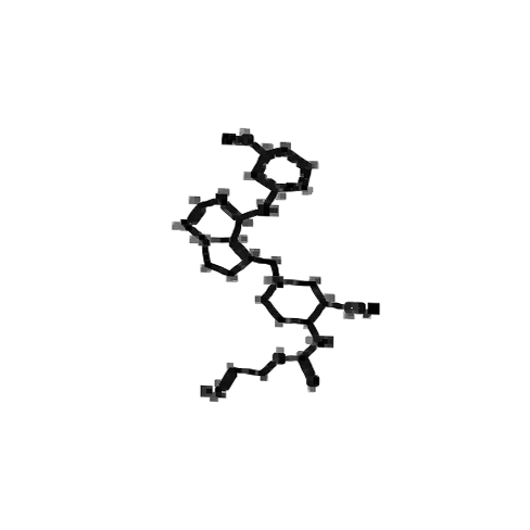 C=CCOC(=O)NC1CCN(CC2=C3C(Nc4cccc(OC)c4)=NC=NN3CC2)CC1C(=O)O